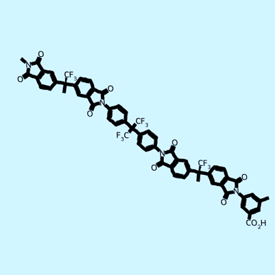 Cc1cc(C(=O)O)cc(N2C(=O)c3ccc([C@](C)(c4ccc5c(c4)C(=O)N(c4ccc(C(c6ccc(N7C(=O)c8ccc([C@](C)(c9ccc%10c(c9)C(=O)N(C)C%10=O)C(F)(F)F)cc8C7=O)cc6)(C(F)(F)F)C(F)(F)F)cc4)C5=O)C(F)(F)F)cc3C2=O)c1